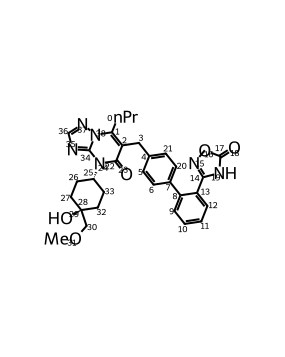 CCCc1c(Cc2ccc(-c3ccccc3-c3noc(=O)[nH]3)cc2)c(=O)n([C@H]2CC[C@@](O)(COC)CC2)c2ncnn12